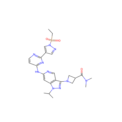 CCS(=O)(=O)n1cc(-c2nccc(Nc3cc4c(cn3)c(N3CC(C(=O)N(C)C)C3)nn4C(C)C)n2)cn1